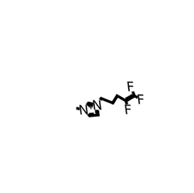 C[n+]1ccn(CCCC(F)=C(F)F)c1